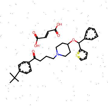 CC(C)(C)c1ccc(C(=O)CCCN2CCC(OC(c3ccccc3)c3cccs3)CC2)cc1.O=C(O)C=CC(=O)O